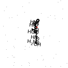 N[C@@H](CCC(=O)NCCCc1cc(O)c(C(c2cccc(NS(=O)(=O)c3nc4ccccc4[nH]3)c2)C2CC2)c(=O)o1)C(=O)O